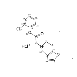 Cl.O=C(CN1CCc2sccc2C1)Oc1ccccc1Cl